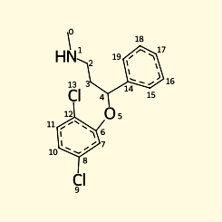 CNCCC(Oc1cc(Cl)ccc1Cl)c1ccccc1